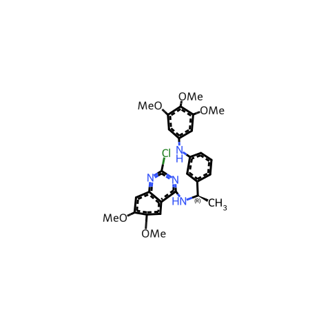 COc1cc2nc(Cl)nc(N[C@H](C)c3cccc(Nc4cc(OC)c(OC)c(OC)c4)c3)c2cc1OC